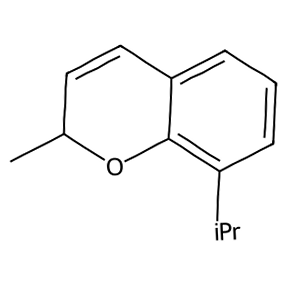 CC1C=Cc2cccc(C(C)C)c2O1